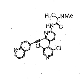 CNC(C)C(=O)Nc1ccc(-c2c(Cl)cncc2Cl)c(C#Cc2ccc3ncccc3c2)n1